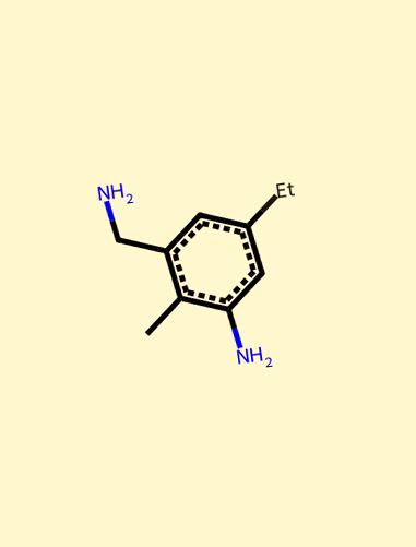 CCc1cc(N)c(C)c(CN)c1